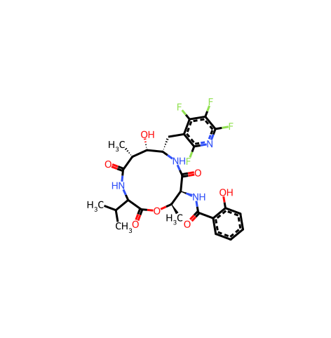 CC(C)C1NC(=O)[C@H](C)[C@H](O)[C@H](Cc2c(F)nc(F)c(F)c2F)NC(=O)[C@@H](NC(=O)c2ccccc2O)[C@@H](C)OC1=O